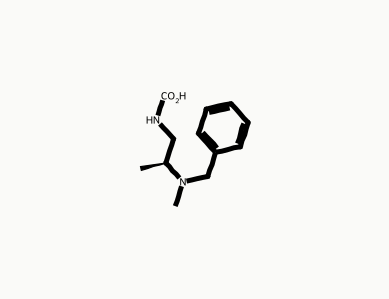 C[C@@H](CNC(=O)O)N(C)Cc1ccccc1